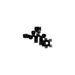 CC(C)(C)OC(=O)N[C@@H](CCO)C(=O)Nc1ccccn1